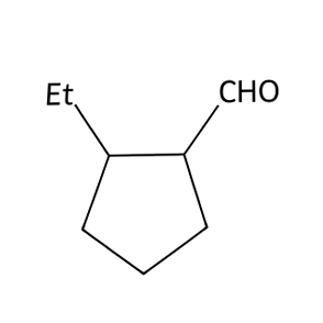 CCC1CCCC1C=O